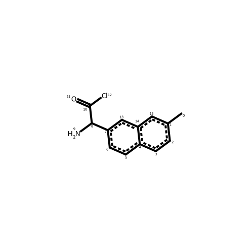 Cc1ccc2ccc(C(N)C(=O)Cl)cc2c1